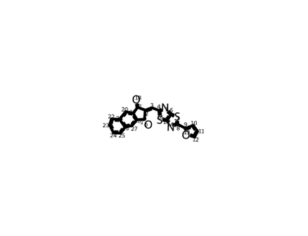 O=C1C(=Cc2nc3sc(-c4ccco4)nc3s2)C(=O)c2cc3ccccc3cc21